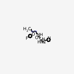 C=C/C=C(\C=C/CNC(=O)CSc1nc(-c2cccnc2)n[nH]1)Oc1ccc(F)cc1